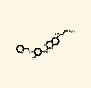 COCCNc1ccc2nc(Nc3ccc(OCc4ccccn4)c(Cl)c3)ncc2c1